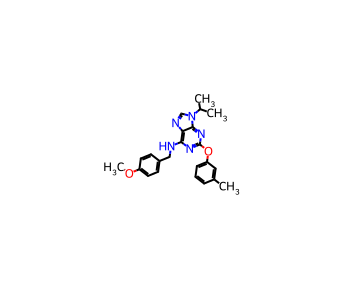 COc1ccc(CNc2nc(Oc3cccc(C)c3)nc3c2ncn3C(C)C)cc1